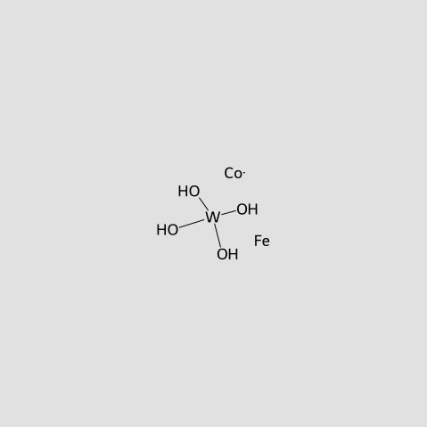 [Co].[Fe].[OH][W]([OH])([OH])[OH]